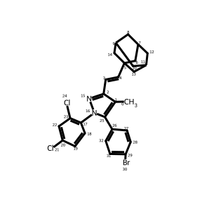 Cc1c(C=CC23CC4CC(CC(C4)C2)C3)nn(-c2ccc(Cl)cc2Cl)c1-c1ccc(Br)cc1